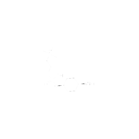 CCCCCCCCC[C@H]1CC[C@@H](OP(=O)(O)OCC[PH](C)(C)C)CC1